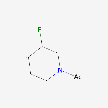 CC(=O)N1CC[CH]C(F)C1